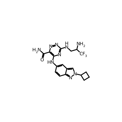 NC(=O)c1nnc(NCC(N)C(F)(F)F)nc1Nc1ccc2nn(C3CCC3)cc2c1